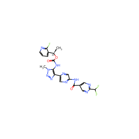 C[C@@H](OC(=O)Nc1c(-c2cnc(NC(=O)c3cnc(C(F)F)nc3)cn2)nnn1C)c1cccnc1F